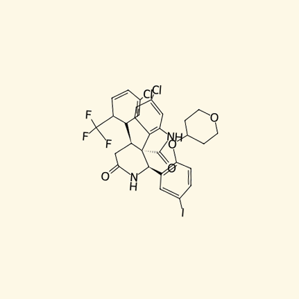 O=C1C[C@@H](C2C=C(Cl)C=CC2C(F)(F)F)[C@]2(C(=O)Nc3cc(Cl)ccc32)[C@@H](c2cc(I)ccc2OC2CCOCC2)N1